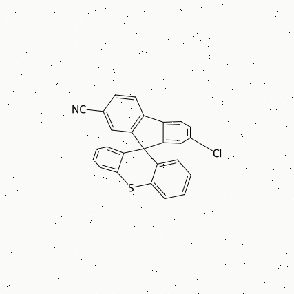 N#Cc1ccc2c(c1)C1(c3ccccc3Sc3ccccc31)c1cc(Cl)ccc1-2